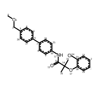 COCc1ccc(-c2ccc(NC(=O)C(C)(C)Oc3ccccc3Cl)cc2)cc1